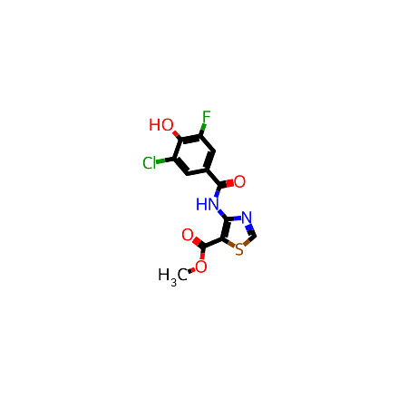 COC(=O)c1scnc1NC(=O)c1cc(F)c(O)c(Cl)c1